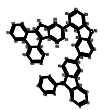 c1ccc(-n2c3ccccc3c3cc(-c4ccc5oc6cccc(-c7cnc8c(n7)sc7c9ccccc9c9ccccc9c87)c6c5c4)ccc32)cc1